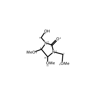 COCN1C(=O)N(CO)C(OC)C1OC